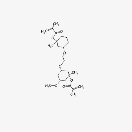 C=C(C)C(=O)OC1(C)CCCC(OCCOC2CC(OC)CC(C)(OC(=O)C(=C)C)C2)C1